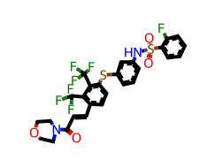 O=C(C=Cc1ccc(Sc2cccc(NS(=O)(=O)c3ccccc3F)c2)c(C(F)(F)F)c1C(F)(F)F)N1CCOCC1